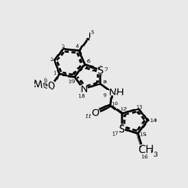 COc1ccc(I)c2sc(NC(=O)c3ccc(C)s3)nc12